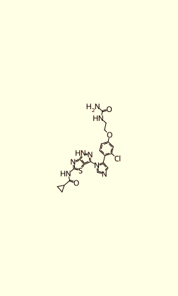 NC(=O)NCCOc1ccc(-c2cncn2-c2n[nH]c3nc(NC(=O)C4CC4)sc23)c(Cl)c1